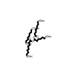 CCCCCCCCCCCCCCCCCC(=O)O.CCCCCCCCCCCCCCCCCC(=O)OC(CCCCCCCCCCCCCCC)OC(=O)CCCCCCCCCCCCCCCCC